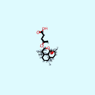 C=C(CCC(=O)O)O[C@@H]1O[C@@H]2O[C@@]3(C)CC[C@H]4[C@H](C)CC[C@@H]([C@H]1C)[C@@]24OO3